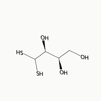 OC[C@@H](O)[C@H](O)C(S)S